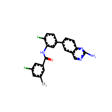 Nc1ncc2cc(-c3ccc(F)c(NC(=O)c4cc(F)cc(C(F)(F)F)c4)c3)ccc2n1